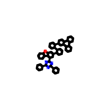 c1ccc(-c2nc(-c3ccccc3)nc(-c3cc(-c4ccccc4-c4ccccc4-c4ccc5c6ccccc6c6ccccc6c5c4)cc4oc5ccccc5c34)n2)cc1